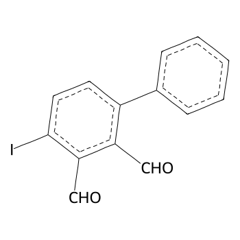 O=Cc1c(I)ccc(-c2ccccc2)c1C=O